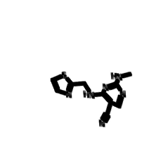 CNc1ncc(C#N)c(NCc2nccs2)n1